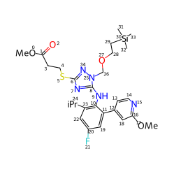 COC(=O)CCSc1nc(Nc2c(-c3ccnc(OC)c3)cc(F)cc2C(C)C)n(COCC[Si](C)(C)C)n1